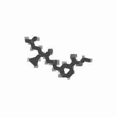 CCOC(=O)c1ccnc(CNCC(=O)N(CCN(C)C)C2CC2)c1